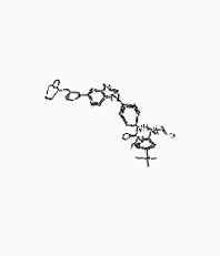 CC(C)(C)c1cc(N)n(C(=O)Nc2ccc(-n3cnc4cc(OCC5CCCO5)ccc43)cc2)n1